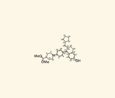 COC(OC)C1CCN(c2ccc([C@@H]3c4ccc(O)cc4CC[C@@H]3CC3CCCC3)cc2)CC1